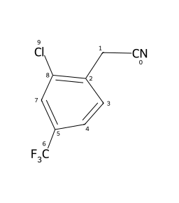 N#CCc1ccc(C(F)(F)F)cc1Cl